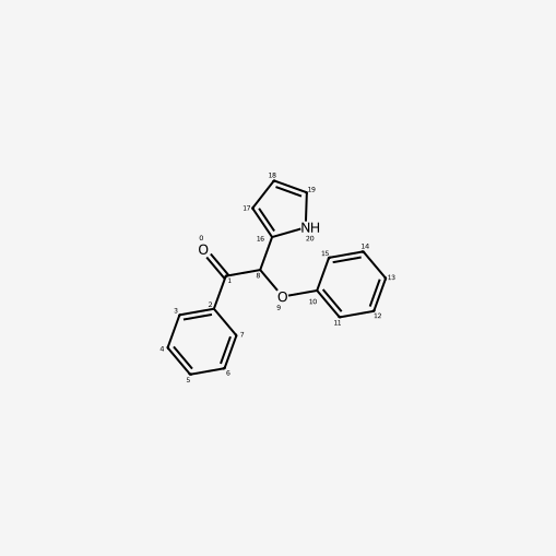 O=C(c1ccccc1)C(Oc1ccccc1)c1ccc[nH]1